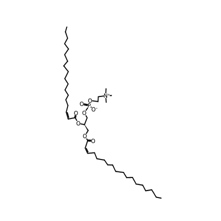 CCCCCCCCCCCCCCC/C=C\C(=O)OC[C@H](COP(=O)([O-])OCC[N+](C)(C)C)OC(=O)/C=C\CCCCCCCCCCCCCCC